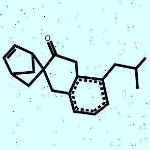 CC(C)Cc1cccc2c1CC(=O)C1(C2)CC2C=CC1C2